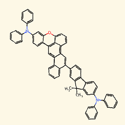 CC1(C)c2cc(-c3cc4c5cccc6c5c(cc4c4ccccc34)-c3ccc(N(c4ccccc4)c4ccccc4)cc3O6)ccc2-c2ccc(N(c3ccccc3)c3ccccc3)cc21